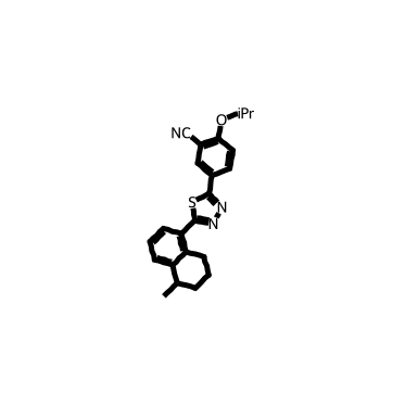 CC(C)Oc1ccc(-c2nnc(-c3cccc4c3CCCC4C)s2)cc1C#N